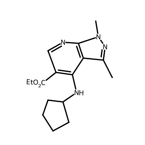 CCOC(=O)c1cnc2c(c(C)nn2C)c1NC1CCCC1